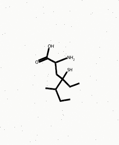 CCC(C)C(S)(CC)CC(N)C(=O)O